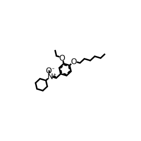 CCCCCCOc1ccc(C=[N+]([O-])C2CCCCC2)cc1OCC